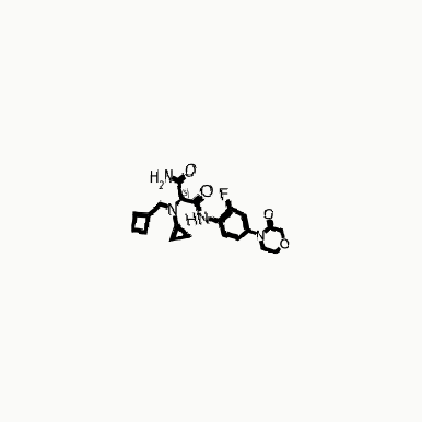 NC(=O)[C@@H](C(=O)Nc1ccc(N2CCOCC2=O)cc1F)N(CC1CCC1)C1CC1